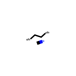 C#N.CCCCCCCC